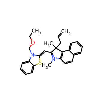 C=CCC1(C)C(/C=C2\Sc3ccccc3N2COCC)=[N+](C)c2ccc3ccccc3c21